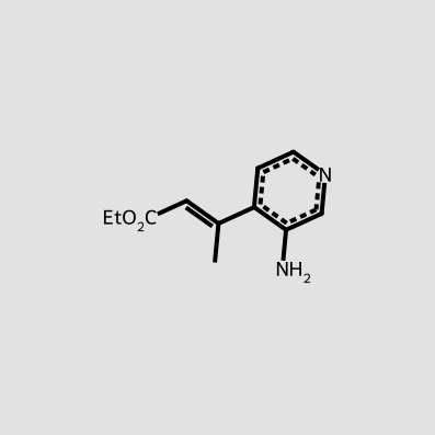 CCOC(=O)/C=C(\C)c1ccncc1N